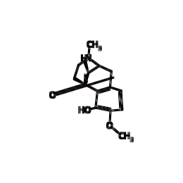 COc1ccc2c(c1O)[C@@]13CCN(C)C(C2)[C@H]1CCC(=O)C3